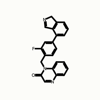 O=c1cnc2ccccc2n1Cc1ccc(-c2cccc3c2C=NC3)cc1F